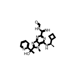 C[C@@H](Nc1nc(C(=N)NC=O)nc2nc(C(C)(O)c3ccccn3)n(C)c12)C1CCC1